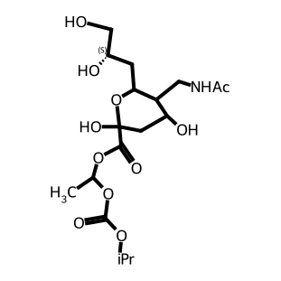 CC(=O)NCC1C(O)CC(O)(C(=O)OC(C)OC(=O)OC(C)C)OC1C[C@H](O)CO